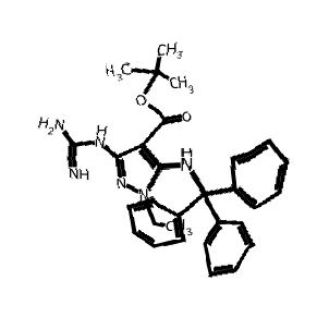 CCn1nc(NC(=N)N)c(C(=O)OC(C)(C)C)c1NC(c1ccccc1)(c1ccccc1)c1ccccc1